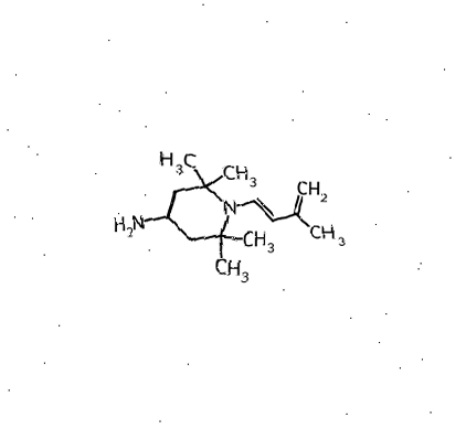 C=C(C)C=CN1C(C)(C)CC(N)CC1(C)C